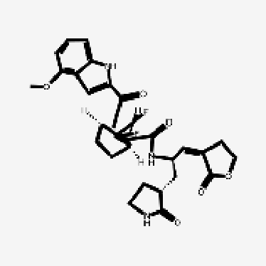 COc1cccc2[nH]c(C(=O)N3[C@@H]4CC[C@H]([C@H]3C(=O)N[C@@H](/C=C3/CCOC3=O)C[C@H]3CCNC3=O)C(F)(F)C4)cc12